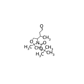 CC(CC=O)C1COC(C)(C)N1C(=O)OC(C)(C)C